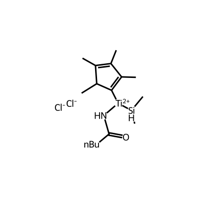 CCCCC(=O)[NH][Ti+2]([C]1=C(C)C(C)=C(C)C1C)[SiH](C)C.[Cl-].[Cl-]